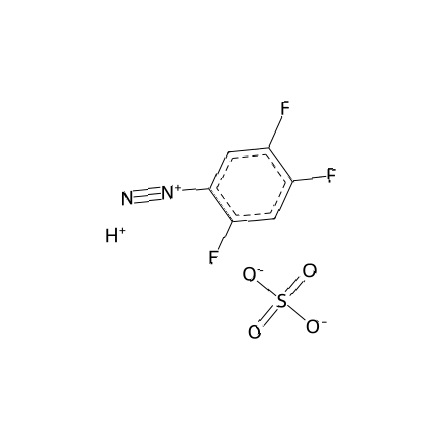 N#[N+]c1cc(F)c(F)cc1F.O=S(=O)([O-])[O-].[H+]